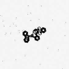 c1ccc2c(c1)Oc1cc[n+]3c(c1O2)-c1ccccc1C1C(C2c4ccccc4-c4cccc[n+]42)C13